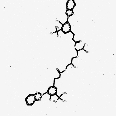 CC(O)C(OCC(O)COC(=O)CCc1cc(-n2nc3ccccc3n2)c(O)c(C(C)(C)C)c1)OC(=O)CCc1cc(-n2nc3ccccc3n2)c(O)c(C(C)(C)C)c1